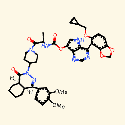 COc1ccc(C2=NN(C3CCN(C(=O)[C@@H](C)NC(=O)Oc4c[nH]c5c(-c6c(OCC7CC7)ccc7c6OCO7)ncnc45)CC3)C(=O)[C@@H]3CCCC[C@H]23)cc1OC